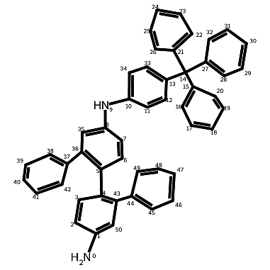 Nc1ccc(-c2ccc(Nc3ccc(C(c4ccccc4)(c4ccccc4)c4ccccc4)cc3)cc2-c2ccccc2)c(-c2ccccc2)c1